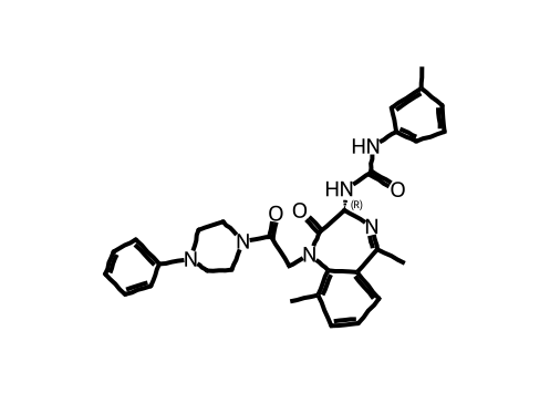 CC1=N[C@@H](NC(=O)Nc2cccc(C)c2)C(=O)N(CC(=O)N2CCN(c3ccccc3)CC2)c2c(C)cccc21